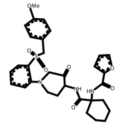 COc1ccc(CS(=O)(=O)c2ccccc2N2CCC(NC(=O)C3(NC(=O)c4ccco4)CCCCC3)C(=O)C2)cc1